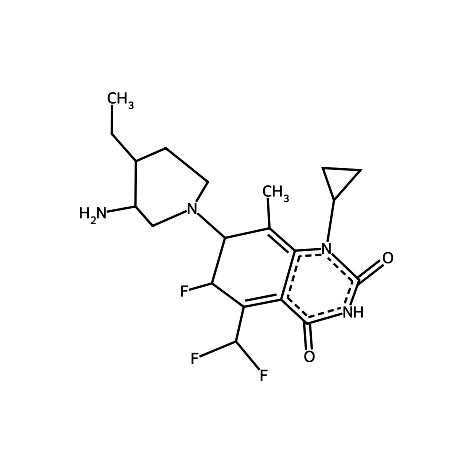 CCC1CCN(C2C(C)=c3c(c(=O)[nH]c(=O)n3C3CC3)=C(C(F)F)C2F)CC1N